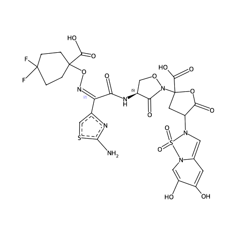 Nc1nc(/C(=N/OC2(C(=O)O)CCC(F)(F)CC2)C(=O)N[C@H]2CON(C3(C(=O)O)CC(N4C=C5C=C(O)C(O)=CN5S4(=O)=O)C(=O)O3)C2=O)cs1